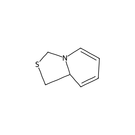 C1=CC2CSCN2C=C1